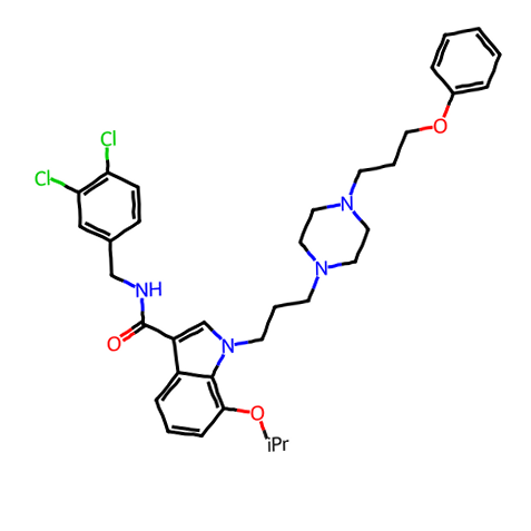 CC(C)Oc1cccc2c(C(=O)NCc3ccc(Cl)c(Cl)c3)cn(CCCN3CCN(CCCOc4ccccc4)CC3)c12